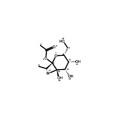 CC[C@@]1(OC(C)=O)O[C@H](CO)[C@H](O)[C@H](O)[C@]1(O)Br